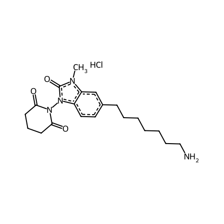 Cl.Cn1c(=O)n(N2C(=O)CCCC2=O)c2ccc(CCCCCCCN)cc21